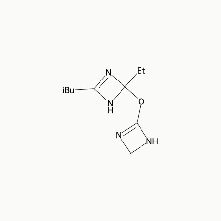 CCC(C)C1=NC(CC)(OC2=NCN2)N1